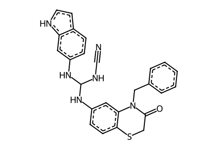 N#CNC(Nc1ccc2c(c1)N(Cc1ccccc1)C(=O)CS2)Nc1ccc2cc[nH]c2c1